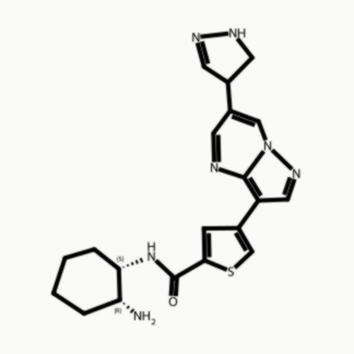 N[C@@H]1CCCC[C@@H]1NC(=O)c1cc(-c2cnn3cc(C4C=NNC4)cnc23)cs1